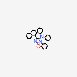 c1ccc(N(c2ccccc2)c2c(-c3cccc4ccccc34)nc3oc4ccccc4n23)cc1